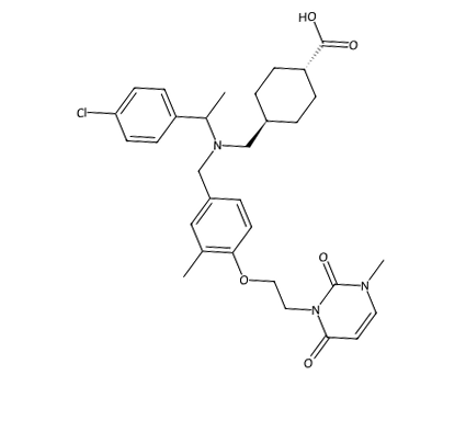 Cc1cc(CN(C[C@H]2CC[C@H](C(=O)O)CC2)C(C)c2ccc(Cl)cc2)ccc1OCCn1c(=O)ccn(C)c1=O